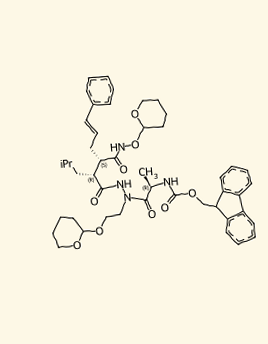 CC(C)C[C@@H](C(=O)NN(CCOC1CCCCO1)C(=O)[C@@H](C)NC(=O)OCC1c2ccccc2-c2ccccc21)[C@H](CC=Cc1ccccc1)C(=O)NOC1CCCCO1